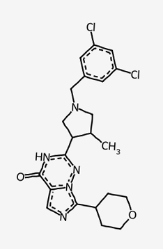 CC1CN(Cc2cc(Cl)cc(Cl)c2)CC1c1nn2c(C3CCOCC3)ncc2c(=O)[nH]1